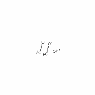 CC(=O)[O-].CC(=O)[O-].[Sr+2]